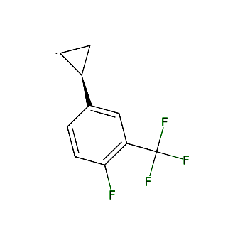 Fc1ccc([C@H]2[CH]C2)cc1C(F)(F)F